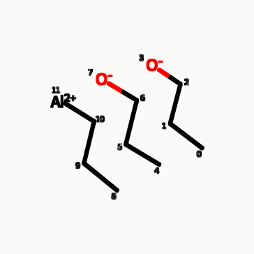 CCC[O-].CCC[O-].CC[CH2][Al+2]